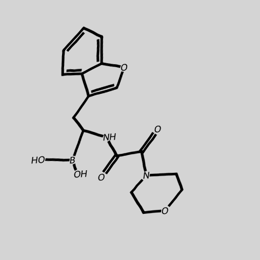 O=C(NC(Cc1coc2ccccc12)B(O)O)C(=O)N1CCOCC1